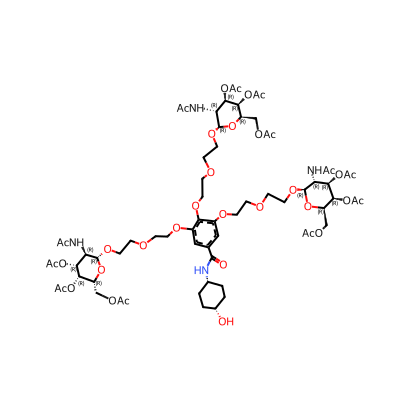 CC(=O)N[C@H]1[C@H](OCCOCCOc2cc(C(=O)N[C@H]3CC[C@@H](O)CC3)cc(OCCOCCO[C@@H]3O[C@H](COC(C)=O)[C@H](OC(C)=O)[C@H](OC(C)=O)[C@H]3NC(C)=O)c2OCCOCCO[C@@H]2O[C@H](COC(C)=O)[C@H](OC(C)=O)[C@H](OC(C)=O)[C@H]2NC(C)=O)O[C@H](COC(C)=O)[C@H](OC(C)=O)[C@@H]1OC(C)=O